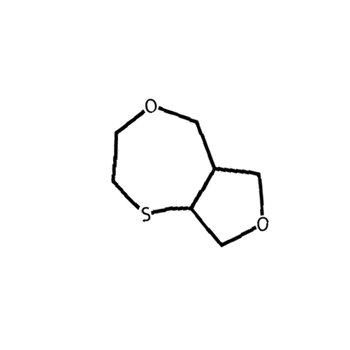 C1CSC2COCC2CO1